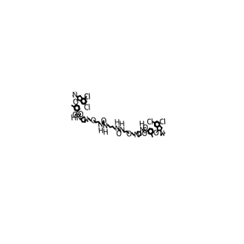 Cc1cc(S(=O)(=O)N[C@@H]2CCN(CCOCCNC(=O)NCCCCNC(=O)NCCOCCN3CC[C@@H](NS(=O)(=O)c4ccc(O[C@H]5c6cc(Cl)cc(Cl)c6C[C@@H]5N(C)C)c(C)c4)C3)C2)ccc1O[C@H]1c2cc(Cl)cc(Cl)c2C[C@@H]1N(C)C